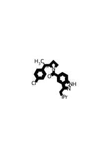 CC(C)Cc1n[nH]c2ccc(C(=O)N3CCC3[C@@H](C)c3ccc(Cl)cc3)cc12